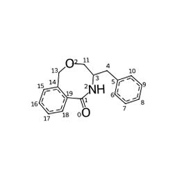 O=C1NC(Cc2ccccc2)COCc2ccccc21